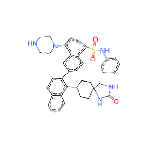 O=C1NCC2(CCC(c3c(-c4ccc5c(S(=O)(=O)Nc6ccccc6)ccc(N6CCNCC6)c5c4)ccc4ccccc34)CC2)N1